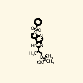 CC(CO[Si](C)(C)C(C)(C)C)c1nc2cnc3c(ccn3S(=O)(=O)c3ccccc3)c2[nH]1